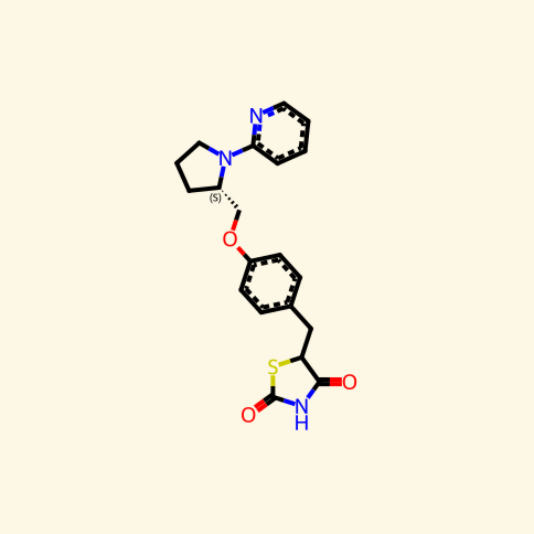 O=C1NC(=O)C(Cc2ccc(OC[C@@H]3CCCN3c3ccccn3)cc2)S1